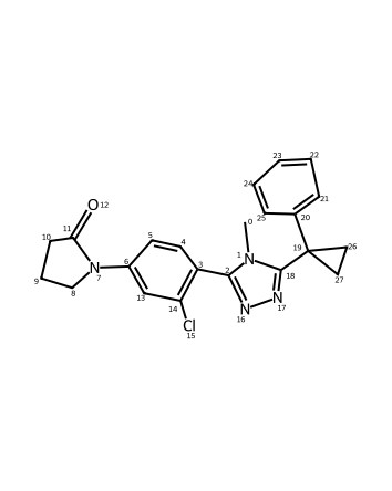 Cn1c(-c2ccc(N3CCCC3=O)cc2Cl)nnc1C1(c2ccccc2)CC1